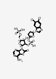 Nc1ncnc2c1sc(=O)n2[C@@H]1O[C@H](COP(=O)(O)S)[C@@H](O)C1OP(=O)(S)O[C@@H]1CC[C@H](n2cnc3cc(Cl)c(Cl)cc32)O1